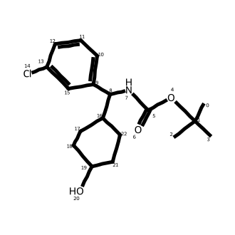 CC(C)(C)OC(=O)NC(c1cccc(Cl)c1)C1CCC(O)CC1